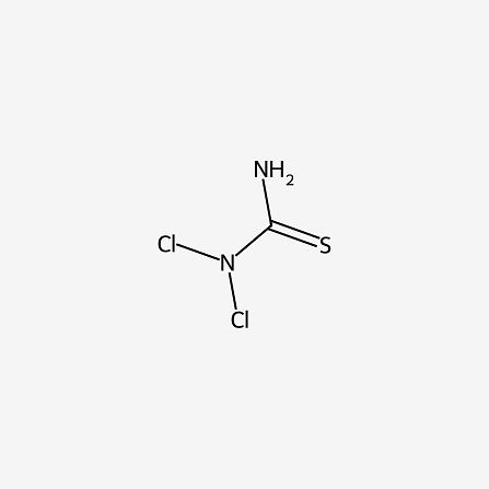 NC(=S)N(Cl)Cl